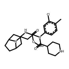 Cc1ccc(N(CCCN2C3CCC2CC(NC(=O)OC(C)(C)C)C3)C(=O)C2CCNCC2)cc1Cl